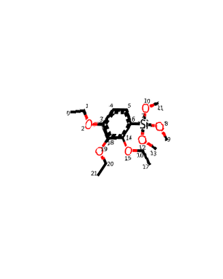 CCOc1ccc([Si](OC)(OC)OC)c(OCC)c1OCC